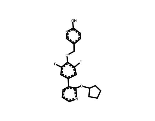 Oc1ccc(COc2c(F)cc(-c3cccnc3OC3CCCC3)cc2F)cn1